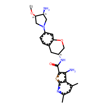 CCO[C@@H]1CN(c2ccc3c(c2)OC[C@H](NC(=O)c2sc4nc(C)cc(C)c4c2N)C3)C[C@@H]1N